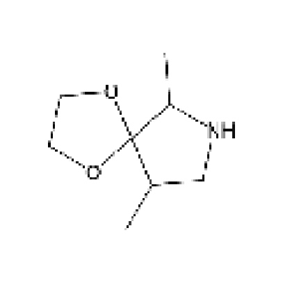 CC1CNC(C)C12OCCO2